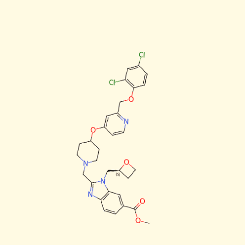 COC(=O)c1ccc2nc(CN3CCC(Oc4ccnc(COc5ccc(Cl)cc5Cl)c4)CC3)n(C[C@@H]3CCO3)c2c1